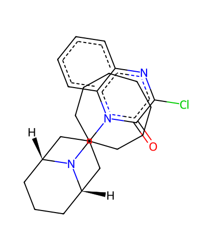 O=c1c(Cl)nc2ccccc2n1C1C[C@H]2CCC[C@@H](C1)N2C1CCCCCCC1